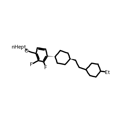 CCCCCCCOc1ccc([C@H]2CC[C@H](CCC3CCC(CC)CC3)CC2)c(F)c1F